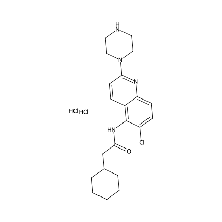 Cl.Cl.O=C(CC1CCCCC1)Nc1c(Cl)ccc2nc(N3CCNCC3)ccc12